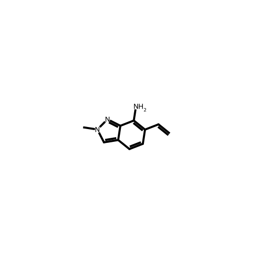 C=Cc1ccc2cn(C)nc2c1N